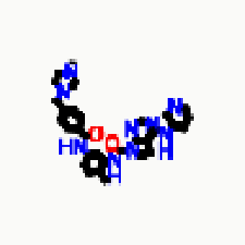 Cc1ccc(NC(=O)c2ccc(CN3CCN(C)CC3)cc2)cc1NC(=O)n1ccc2c(Nc3cccnc3)ncnc21